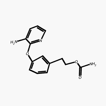 NC(=O)OCCc1cccc(Oc2ncccc2N)c1